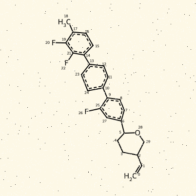 C=CC1CCC(c2ccc(-c3ccc(-c4ccc(C)c(F)c4F)cc3)c(F)c2)OC1